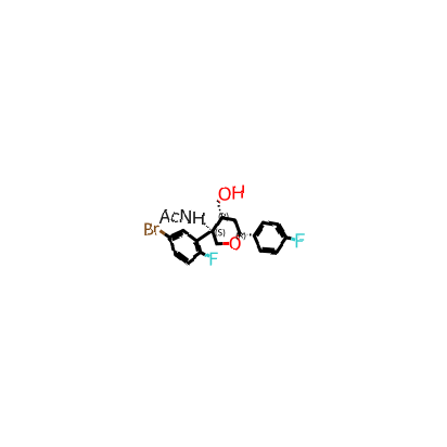 CC(=O)N[C@@]1(c2cc(Br)ccc2F)CO[C@@H](c2ccc(F)cc2)C[C@H]1CO